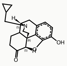 O=C1CCC2[C@@H]3Cc4ccc(O)c5c4[C@]2(CCN3CC2CC2)[C@@H]1O5